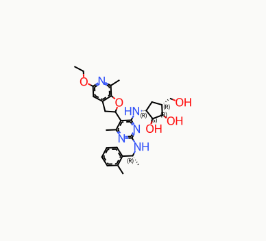 CCOc1cc2c(c(C)n1)OC(c1c(C)nc(N[C@H](C)c3ccccc3C)nc1N[C@@H]1C[C@H](CO)[C@@H](O)[C@H]1O)C2